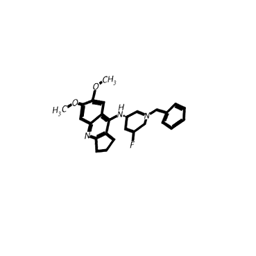 COc1cc2nc3c(c(N[C@H]4CC(F)CN(Cc5ccccc5)C4)c2cc1OC)CCC3